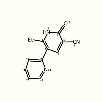 CCc1[nH]c(=O)c(C#N)cc1-c1ccccn1